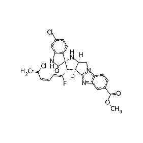 C=C(Cl)/C=C\C=C(/F)[C@H]1[C@@H]2c3nc4cc(C(=O)OC)ccc4n3C[C@@H]2N[C@@]12C(=O)Nc1cc(Cl)ccc12